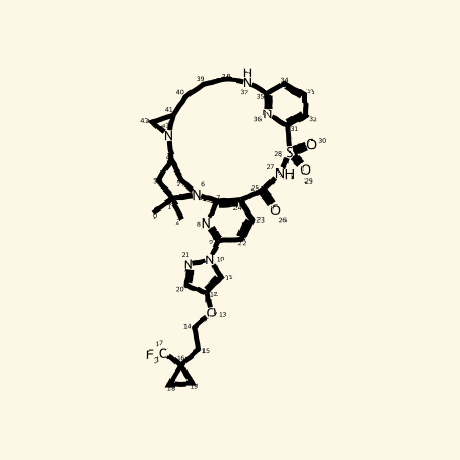 CC1(C)CC2CN1c1nc(-n3cc(OCCC4(C(F)(F)F)CC4)cn3)ccc1C(=O)NS(=O)(=O)c1cccc(n1)NCCCC1CN12